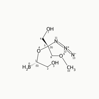 B[C@@H](CO)O[C@@](CO)(COC)N=[N+]=[N-]